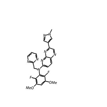 COc1cc(OC)c(F)c(N(Cc2ncccn2)c2ccc3ncc(-c4cnn(C)c4)nc3n2)c1F